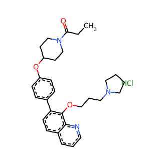 CCC(=O)N1CCC(Oc2ccc(-c3ccc4cccnc4c3OCCCN3CCCC3)cc2)CC1.Cl